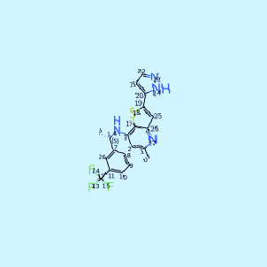 Cc1cc(N[C@@H](C)c2cccc(C(F)(F)F)c2)c2sc(-c3ccn[nH]3)cc2n1